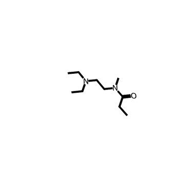 CCC(=O)N(C)CCN(CC)CC